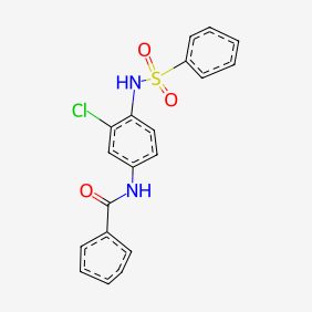 O=C(Nc1ccc(NS(=O)(=O)c2ccccc2)c(Cl)c1)c1ccccc1